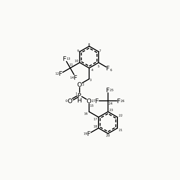 O=[PH](OCc1c(F)cccc1C(F)(F)F)OCc1c(F)cccc1C(F)(F)F